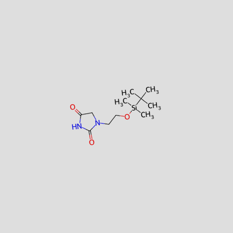 CC(C)(C)[Si](C)(C)OCCN1CC(=O)NC1=O